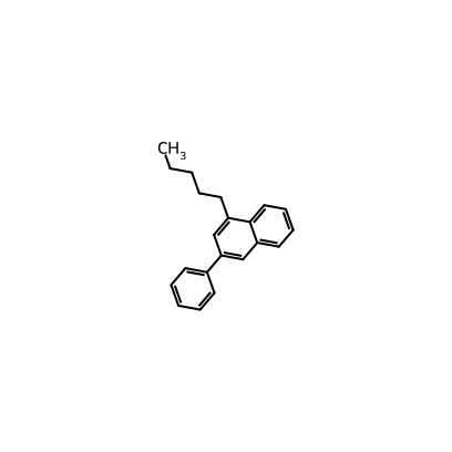 CCCCCc1cc(-c2ccccc2)cc2ccccc12